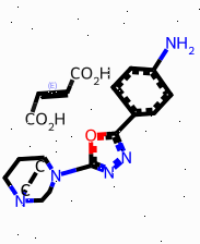 Nc1ccc(-c2nnc(N3CCN4CCC3CC4)o2)cc1.O=C(O)/C=C/C(=O)O